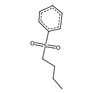 CCCCS(=O)(=O)c1cc[c]cc1